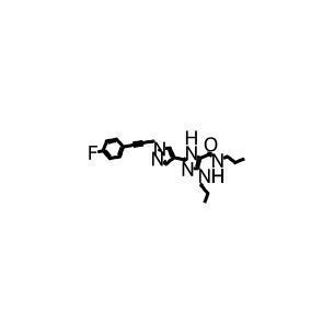 CCCNC(=O)c1[nH]c(-c2cnn(CC#Cc3ccc(F)cc3)c2)nc1NCCC